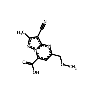 COCc1cc(C(=O)O)n2nc(C)c(C#N)c2n1